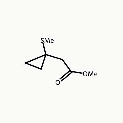 COC(=O)CC1(SC)CC1